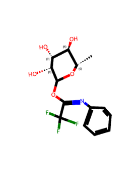 C[C@@H]1OC(OC(=Nc2ccccc2)C(F)(F)F)[C@H](O)[C@H](O)[C@H]1O